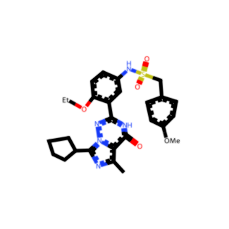 CCOc1ccc(NS(=O)(=O)Cc2ccc(OC)cc2)cc1-c1nn2c(C3CCCC3)nc(C)c2c(=O)[nH]1